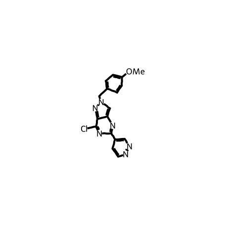 COc1ccc(Cn2cc3nc(-c4ccnnc4)nc(Cl)c3n2)cc1